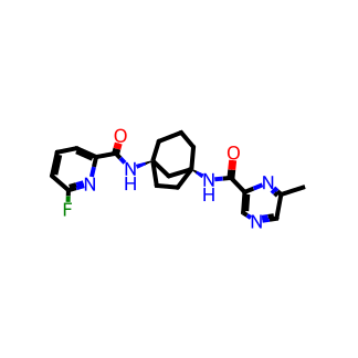 Cc1cncc(C(=O)N[C@@]23CCC[C@@](NC(=O)c4cccc(F)n4)(CC2)C3)n1